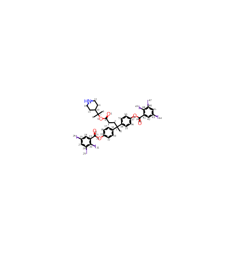 CC(CCC(=O)OC(C)(C)C1CCNCC1)(c1ccc(OC(=O)c2cc(I)cc(I)c2I)cc1)c1ccc(OC(=O)c2cc(I)cc(I)c2I)cc1